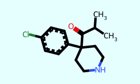 CC(C)C(=O)C1(c2ccc(Cl)cc2)CCNCC1